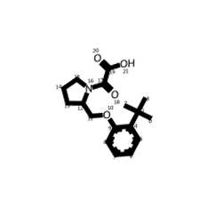 CC(C)(C)c1ccccc1OCC1CCCN1C(=O)C(=O)O